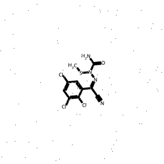 CSN(/N=C(/C#N)c1cc(Cl)cc(Cl)c1Cl)C(N)=O